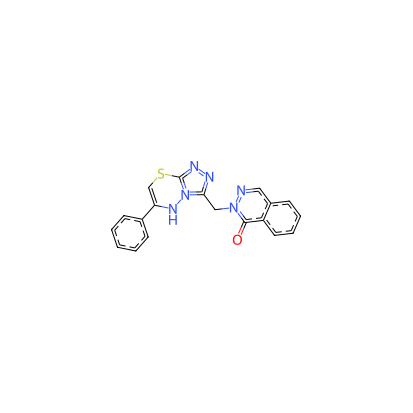 O=c1c2ccccc2cnn1Cc1nnc2n1NC(c1ccccc1)=CS2